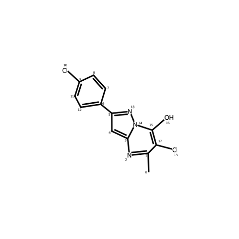 Cc1nc2cc(-c3ccc(Cl)cc3)nn2c(O)c1Cl